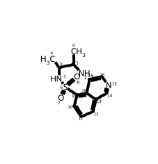 CC(N)C(C)NS(=O)(=O)c1cccc2cnccc12